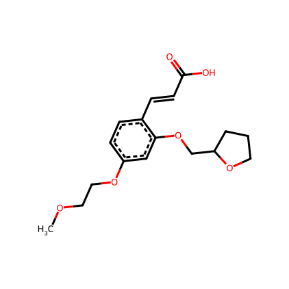 COCCOc1ccc(C=CC(=O)O)c(OCC2CCCO2)c1